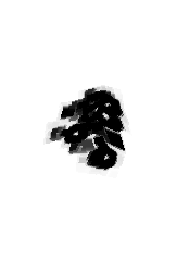 CCC(CC)(N(c1c(C(=O)NCc2ccccc2)ccc2ccccc12)S(=O)(=O)c1cc(Cl)cc(Cl)c1)P(=O)(O)O